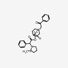 C[C@@H]1CCCN1C(C(=O)O[C@H]1C[N+]2(CC(=O)c3ccccc3)CCC1CC2)c1ccccc1